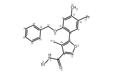 CCNC(=O)c1noc(-c2cc(C(C)C)c(C)cc2OCc2ccccc2)c1I